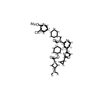 COc1ncc([C@H]2CC[C@H](CN(c3cc(-c4coc(C5CC5)n4)ccn3)C(=O)[C@H]3CC[C@H](OC(=O)N4CC(N(C)C)C4)CC3)CC2)cc1Cl